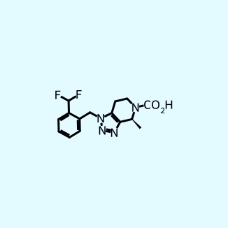 C[C@H]1c2nnn(Cc3ccccc3C(F)F)c2CCN1C(=O)O